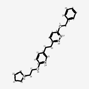 c1ccc(COc2ccc(CCc3ccc(OCCN4CCCC4)nc3)nn2)cc1